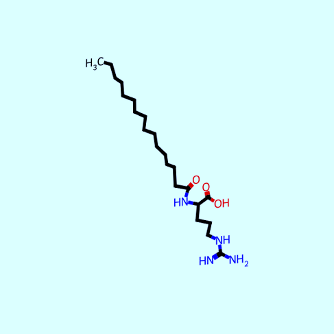 CCCCCCCCCCCCCCCC(=O)NC(CCCNC(=N)N)C(=O)O